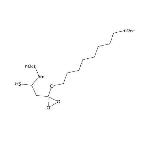 CCCCCCCCCCCCCCCCCCOC1(C[CH](S)[Sn][CH2]CCCCCCC)OO1